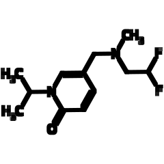 CC(C)n1cc(CN(C)CC(F)F)ccc1=O